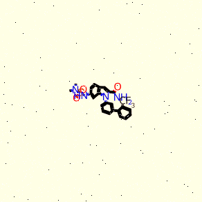 CN(C)S(=O)(=O)Nc1ccc2cc(C(N)=O)n(-c3cccc(-c4ccccc4C(F)(F)F)c3)c2c1